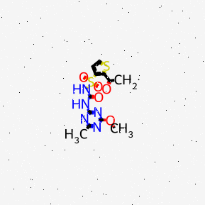 [CH2]C(=O)c1sccc1S(=O)(=O)NC(=O)Nc1nc(C)nc(OC)n1